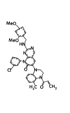 C=CC(=O)N1CCN(c2cc3cnc(NCc4ccc(OC)cc4OC)nc3n(-c3cccc(Cl)c3)c2=O)c2cccc(C)c21